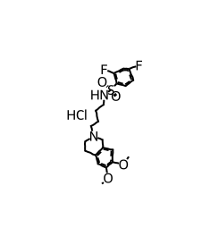 COc1cc2c(cc1OC)CN(CCCCNS(=O)(=O)c1ccc(F)cc1F)CC2.Cl